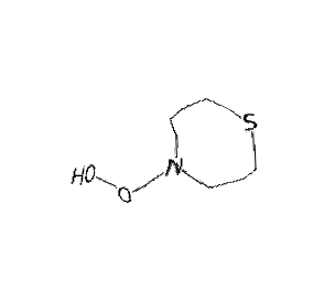 OON1CCSCC1